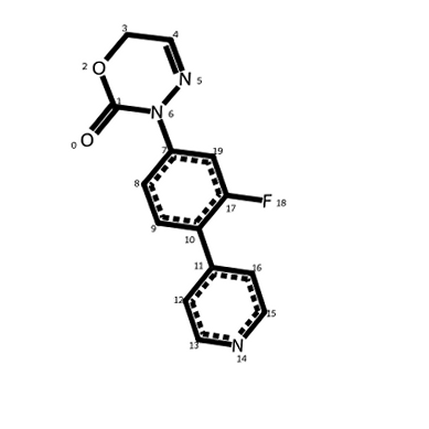 O=C1OCC=NN1c1ccc(-c2ccncc2)c(F)c1